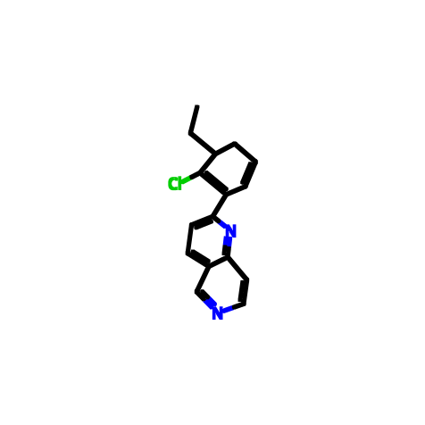 CCC1CC=CC(c2ccc3cnccc3n2)=C1Cl